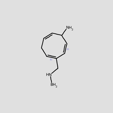 BNCC1=C/CC=CC(N)/C=C\1